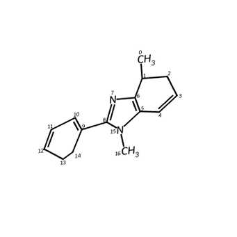 CC1CC=Cc2c1nc(C1=CC=CCC1)n2C